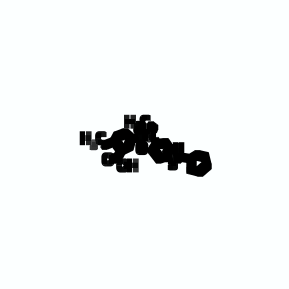 CCc1ccc(S(=O)(=O)N(CC)c2ccc3sc(-c4ccccc4)nc3c2)cc1C(=O)O